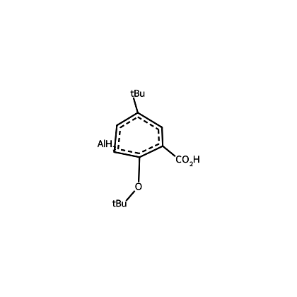 CC(C)(C)Oc1ccc(C(C)(C)C)cc1C(=O)O.[AlH3]